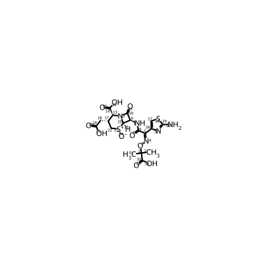 CC(C)(O/N=C(\C(=O)N[C@@H]1C(=O)N2[C@H](C(=O)O)[C@@H](CC(=O)O)C[S@@+]([O-])[C@H]12)c1csc(N)n1)C(=O)O